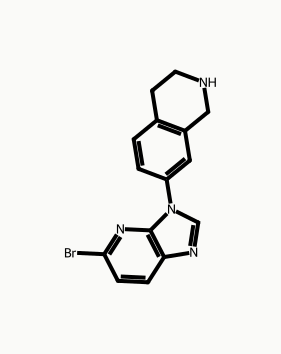 Brc1ccc2ncn(-c3ccc4c(c3)CNCC4)c2n1